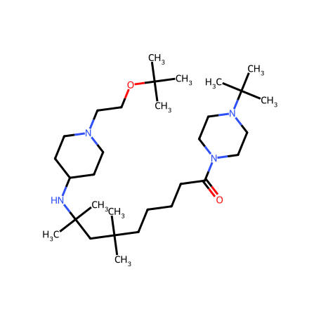 CC(C)(CCCCC(=O)N1CCN(C(C)(C)C)CC1)CC(C)(C)NC1CCN(CCOC(C)(C)C)CC1